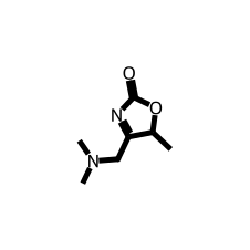 CC1OC(=O)N=C1CN(C)C